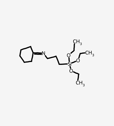 CCO[Si](CCCN=C1CCCCC1)(OCC)OCC